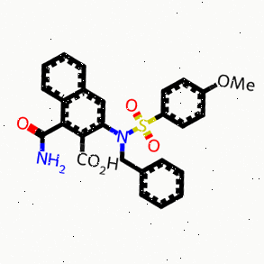 COc1ccc(S(=O)(=O)N(Cc2ccccc2)c2cc3ccccc3c(C(N)=O)c2C(=O)O)cc1